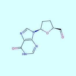 O=C[C@@H]1CC[C@H](n2cnc3c(=O)[nH]cnc32)O1